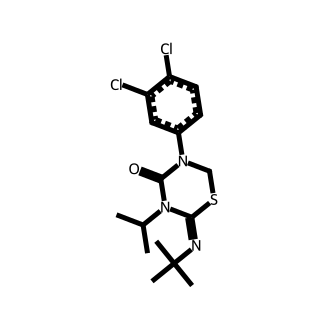 CC(C)N1C(=O)N(c2ccc(Cl)c(Cl)c2)CSC1=NC(C)(C)C